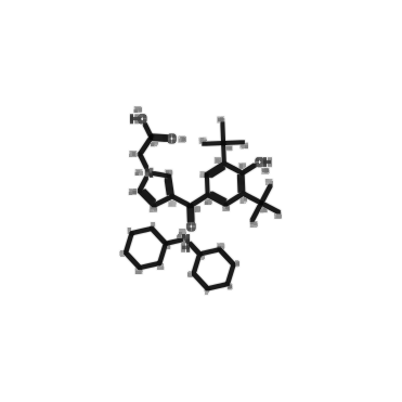 C1CCC(NC2CCCCC2)CC1.CC(C)(C)c1cc(C(=O)c2ccn(CC(=O)O)c2)cc(C(C)(C)C)c1O